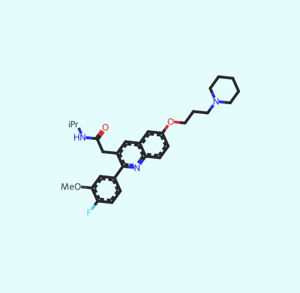 COc1cc(-c2nc3ccc(OCCCN4CCCCC4)cc3cc2CC(=O)NC(C)C)ccc1F